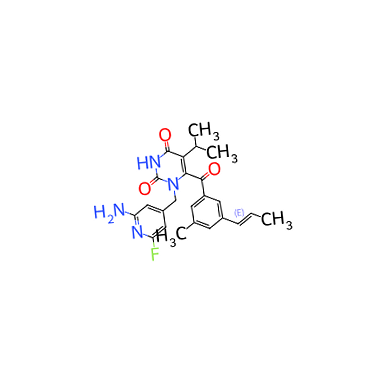 C/C=C/c1cc(C)cc(C(=O)c2c(C(C)C)c(=O)[nH]c(=O)n2Cc2cc(N)nc(F)c2)c1